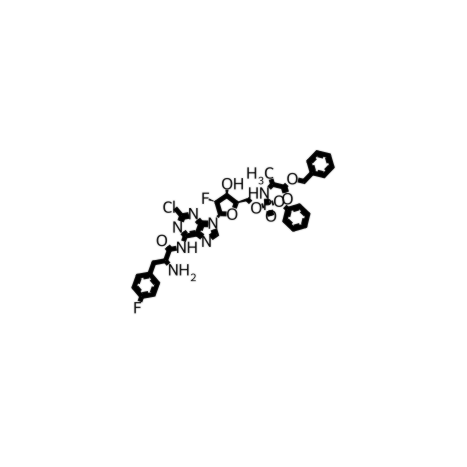 CC(NP(=O)(OC[C@H]1O[C@@H](n2cnc3c(NC(=O)C(N)Cc4ccc(F)cc4)nc(Cl)nc32)[C@H](F)[C@H]1O)Oc1ccccc1)C(=O)OCc1ccccc1